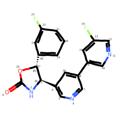 O=C1N[C@H](c2cncc(-c3cncc(F)c3)c2)[C@@H](c2cccc(F)c2)O1